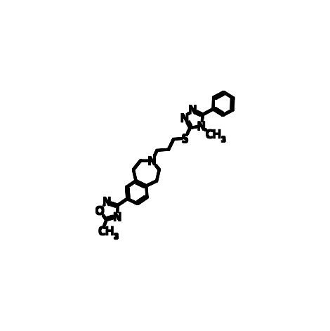 Cc1nc(-c2ccc3c(c2)CCN(CCCSc2nnc(-c4ccccc4)n2C)CC3)no1